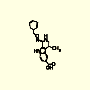 CC1CN/C(=N\OCC2C=CC=CC2)c2[nH]c3ccc(C(=O)O)cc3c21